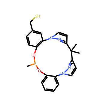 CP1Oc2ccccc2-n2ccc(n2)C(C)(C)c2ccn(n2)-c2cc(CS)ccc2O1